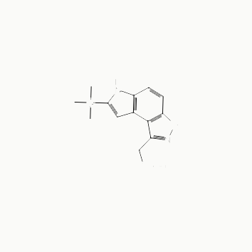 CCOC(=O)Cc1noc2ccc3[nH]c([Si](C)(C)C)cc3c12